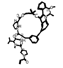 C=CC(=O)N1CC[C@H](C(=O)N(C)C(C(=O)N[C@H]2Cc3cccc(c3)-c3ccc4c(c3)c(c(-c3ccccc3[C@H](C)OC)n4CC)CC(C)(C)COC(=O)[C@@H]3CCCN(N3)C2=O)C(C)C)C1